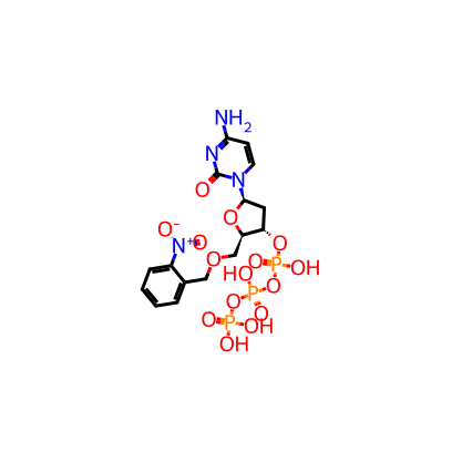 Nc1ccn([C@H]2C[C@H](OP(=O)(O)OP(=O)(O)OP(=O)(O)O)[C@@H](COCc3ccccc3[N+](=O)[O-])O2)c(=O)n1